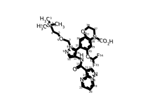 C[Si](C)(C)CCOCn1ncc(NC(=O)c2cnn3cccnc23)c1-c1cc2c(cc1OC(F)F)N(C(=O)O)CCO2